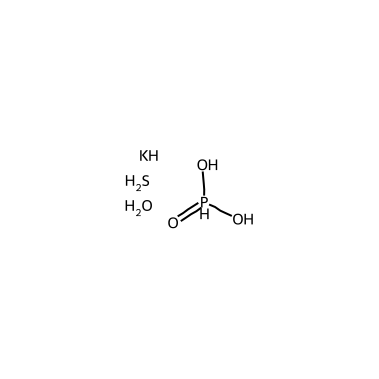 O.O=[PH](O)O.S.[KH]